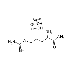 N=C(N)NCCCC(N)C(N)=O.[Mg+2].[O-]O.[O-]O